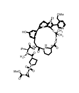 CCn1c(-c2cnccc2COC)c2c3cc(ccc31)-c1cc(O)cc(c1)C[C@H](NC(=O)[C@H](C(C)C)N(C)C(=O)[C@H]1CCN(S(=O)(=O)N3C[C@H]3C(=O)OC)C1)C(=O)N1CCC[C@H](N1)C(=O)OCC(C)(C)C2